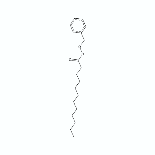 CCCCCCCCCCCC(=O)OOCc1ccccc1